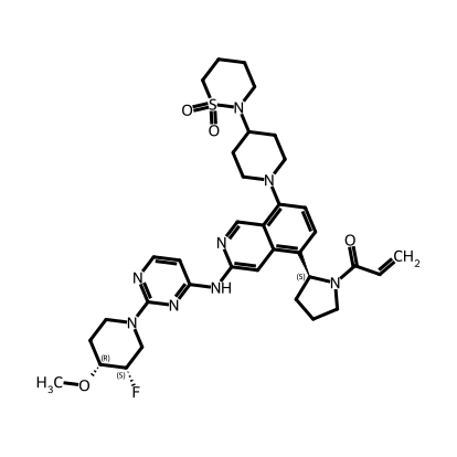 C=CC(=O)N1CCC[C@H]1c1ccc(N2CCC(N3CCCCS3(=O)=O)CC2)c2cnc(Nc3ccnc(N4CC[C@@H](OC)[C@@H](F)C4)n3)cc12